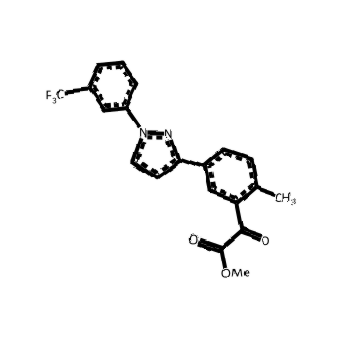 COC(=O)C(=O)c1cc(-c2ccn(-c3cccc(C(F)(F)F)c3)n2)ccc1C